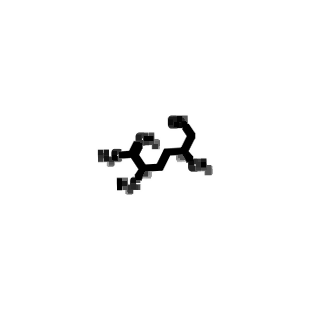 C=C(C)[C@H](C)CC[C@H](C)CN=O